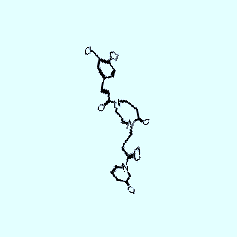 O=C1CCCN(C(=O)CCN2CCN(C(=O)/C=C/c3ccc(Cl)c(Cl)c3)CCC2=O)C1